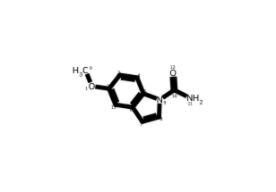 COc1[c]cc2c(ccn2C(N)=O)c1